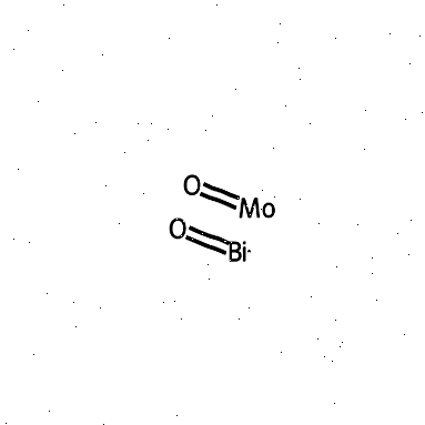 [O]=[Bi].[O]=[Mo]